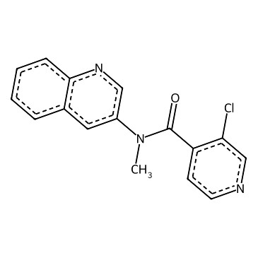 CN(C(=O)c1ccncc1Cl)c1cnc2ccccc2c1